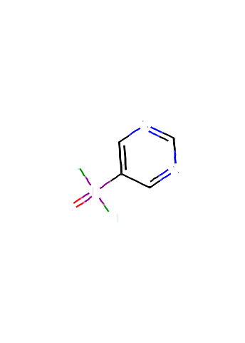 O=P(Cl)(Cl)c1cncnc1